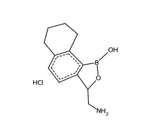 Cl.NCC1OB(O)c2c1ccc1c2CCCC1